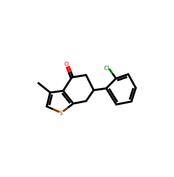 Cc1csc2c1C(=O)CC(c1ccccc1Cl)C2